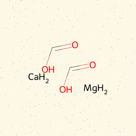 O=CO.O=CO.[CaH2].[MgH2]